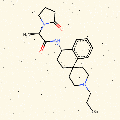 C[C@H](C(=O)N[C@H]1CCC2(CCN(CCC(C)(C)C)CC2)c2ccccc21)N1CCCC1=O